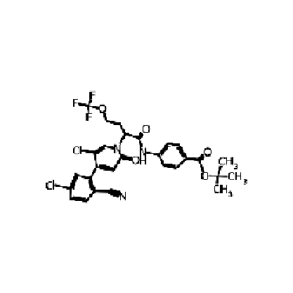 CC(C)(C)OC(=O)c1ccc(NC(=O)C(CCOC(F)(F)F)n2cc(Cl)c(-c3cc(Cl)ccc3C#N)cc2=O)cc1